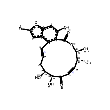 CCc1cc2c3c(c(O)cc2o1)C(=O)O[C@@H](C)[C@H](C)/C=C\C(=O)[C@@H](O)[C@@H](O)C/C=C/3